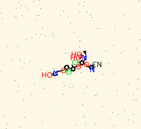 Cc1c(COc2cc(OCc3cncc(C#N)c3)c(CN(CC3CC3)C(CO)CO)cc2Cl)cccc1-c1cccc(OCCCN2CC[C@@H](O)C2)c1Cl